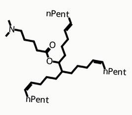 CCCCC/C=C\CCCC(CCC/C=C\CCCCC)C(CCC/C=C/CCCCC)OC(=O)CCCCN(C)C